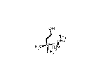 CCCCBr.C[N+](C)(C)CCO.N